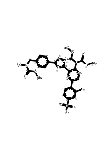 CC(C)S(=O)(=O)c1ccc(-c2cnc(N(C(=O)OC(C)(C)C)C(=O)OC(C)(C)C)c(-c3nnc(-c4ccc(CN(C)C(=O)OC(C)(C)C)cc4)o3)n2)c(F)c1